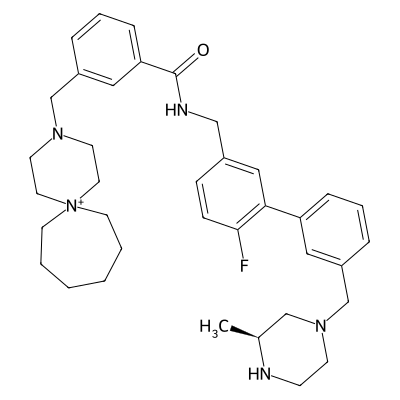 C[C@H]1CN(Cc2cccc(-c3cc(CNC(=O)c4cccc(CN5CC[N+]6(CCCCCC6)CC5)c4)ccc3F)c2)CCN1